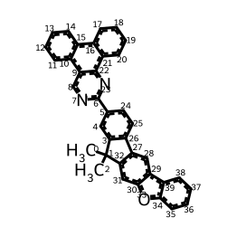 CC1(C)c2cc(-c3ncc4c5ccccc5c5ccccc5c4n3)ccc2-c2cc3c(cc21)oc1ccccc13